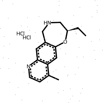 CC[C@@H]1CNCc2cc3nccc(C)c3cc2O1.Cl.Cl